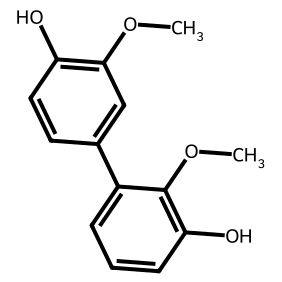 COc1cc(-c2cccc(O)c2OC)ccc1O